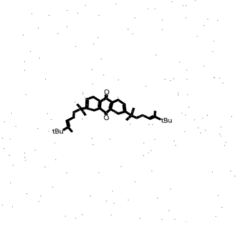 C/C(=C\CCC(C)(C)C1=CCC2=C(C1)C(=O)C1=C(CC=C(C(C)(C)CC/C=C(\C)C(C)(C)C)C1)C2=O)C(C)(C)C